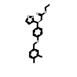 CCOC(=O)C[C@@H](c1ccc(OCc2ccc(C)c(I)c2)cc1)c1ccon1